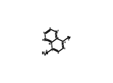 Nc1ccc(Br)c2nccnc12